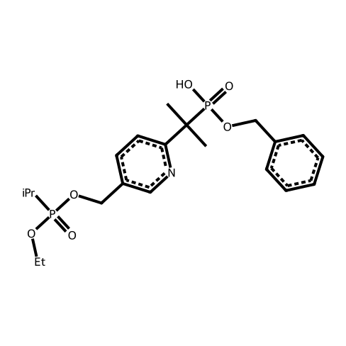 CCOP(=O)(OCc1ccc(C(C)(C)P(=O)(O)OCc2ccccc2)nc1)C(C)C